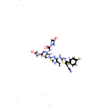 CCc1nc2sc(N3CC[C@@H](N(CC(=O)N4CC(O)C4)CC(=O)N4CC(O)C4)C3)nn2c1N(C)c1nc(-c2ccc(F)cc2)c(C#N)s1